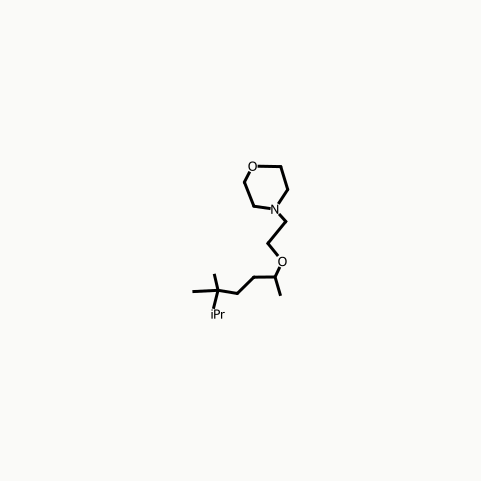 CC(CCC(C)(C)C(C)C)OCCN1CCOCC1